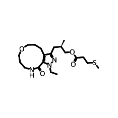 CCn1nc(C[C@@H](C)COC(=O)CCSC)c2c1C(=O)NCCCOCCC2